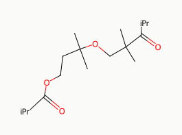 CC(C)C(=O)OCCC(C)(C)OCC(C)(C)C(=O)C(C)C